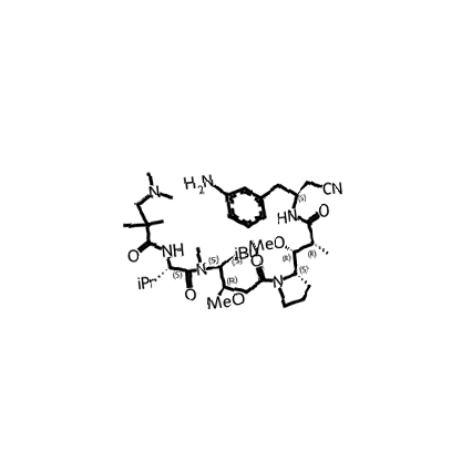 CC[C@H](C)[C@@H]([C@@H](CC(=O)N1CCC[C@H]1[C@H](OC)[C@@H](C)C(=O)N[C@H](CC#N)Cc1cccc(N)c1)OC)N(C)C(=O)[C@@H](NC(=O)C(C)(C)CN(C)C)C(C)C